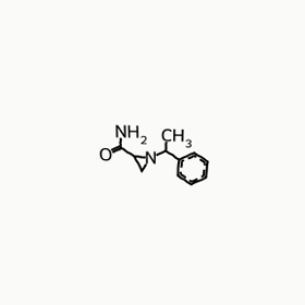 CC(c1ccccc1)N1CC1C(N)=O